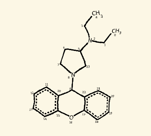 CCN(CC)C1CCN(C2c3ccccc3Oc3ccccc32)C1